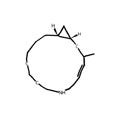 CC1/C=C\CNCCCCCCC[C@@H]2C[C@@H]2C1